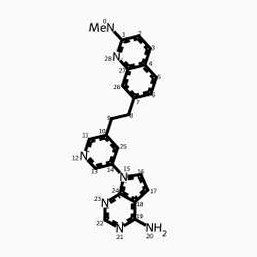 CNc1ccc2ccc(CCc3cncc(-n4ccc5c(N)ncnc54)c3)cc2n1